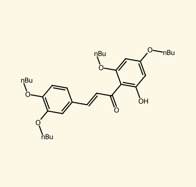 CCCCOc1cc(O)c(C(=O)/C=C/c2ccc(OCCCC)c(OCCCC)c2)c(OCCCC)c1